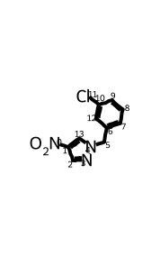 O=[N+]([O-])c1cnn(Cc2cccc(Cl)c2)c1